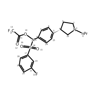 CCCN1CC[C@@H](c2ccc(N(OC(=O)C(F)(F)F)S(=O)(=O)c3cccc(F)c3)cc2)C1